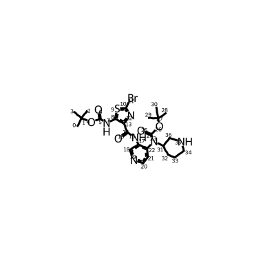 CC(C)(C)OC(=O)Nc1sc(Br)nc1C(=O)Nc1cnccc1N(C(=O)OC(C)(C)C)C1CCCNC1